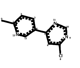 Cc1ccc(-c2cc(Cl)ncn2)cn1